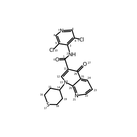 O=C(Nc1c(Cl)cncc1Cl)c1cn(C2CCSCC2)c2ncccc2c1=O